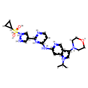 CC(C)n1cc(N2CCOCC2)c2cnc(Nc3ccnc(-c4cnn(S(=O)(=O)C5CC5)c4)n3)cc21